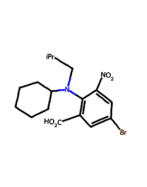 CC(C)CN(c1c(C(=O)O)cc(Br)cc1[N+](=O)[O-])C1CCCCC1